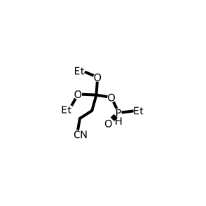 CCOC(CCC#N)(OCC)O[PH](=O)CC